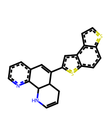 C1=CNC2c3ncccc3C=C(c3cc4c(ccc5sccc54)s3)C2C1